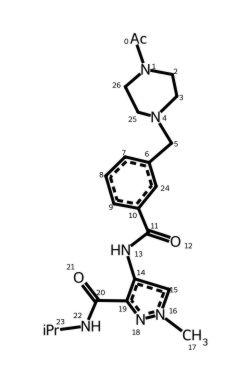 CC(=O)N1CCN(Cc2cccc(C(=O)Nc3cn(C)nc3C(=O)NC(C)C)c2)CC1